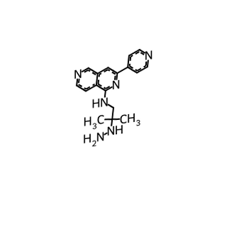 CC(C)(CNc1nc(-c2ccncc2)cc2cnccc12)NN